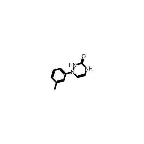 Cc1cccc(N2C=CNC(=O)N2)c1